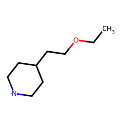 CCOCCC1CC[N]CC1